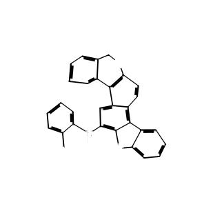 Clc1ccccc1Nc1cc2c3c(ccc2c2c1oc1ccccc12)OCc1ccccc1-3